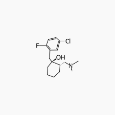 CN(C)C[C@@H]1CCCC[C@]1(O)Cc1cc(Cl)ccc1F